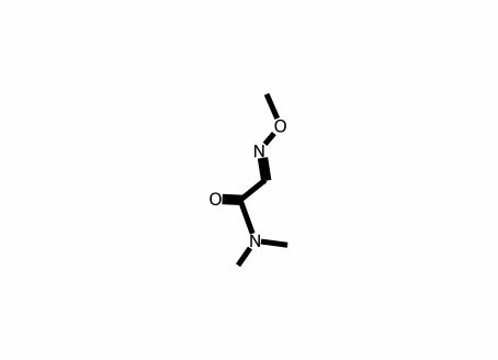 CON=CC(=O)N(C)C